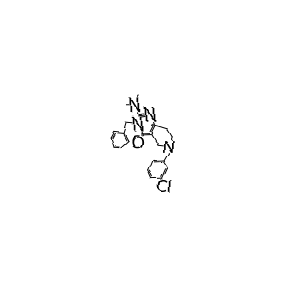 CN(C)c1nc2c(c(=O)n1Cc1ccccc1)CN(Cc1cccc(Cl)c1)CC2